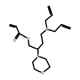 C=CCN(CC=C)CCC(COC(=O)C=C)N1CCOCC1